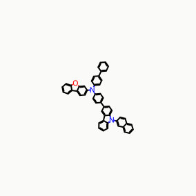 c1ccc(-c2ccc(N(c3ccc(-c4ccc5c(c4)c4ccccc4n5-c4ccc5ccccc5c4)cc3)c3ccc4c(c3)oc3ccccc34)cc2)cc1